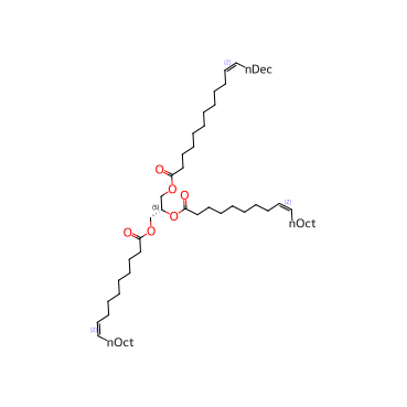 CCCCCCCC/C=C\CCCCCCCC(=O)OC[C@H](COC(=O)CCCCCCCCC/C=C\CCCCCCCCCC)OC(=O)CCCCCCC/C=C\CCCCCCCC